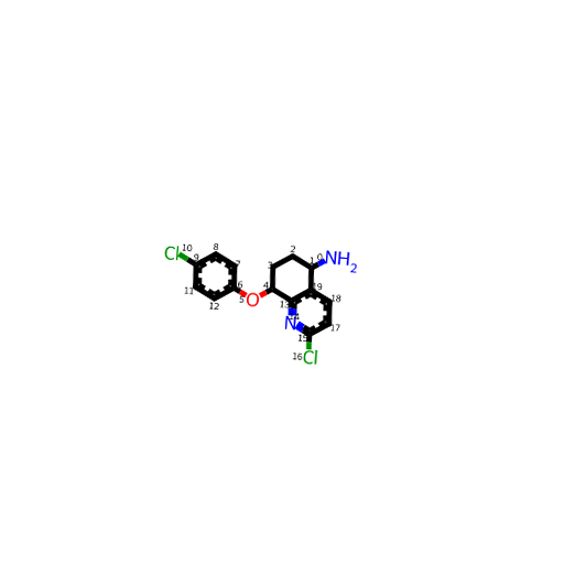 NC1CCC(Oc2ccc(Cl)cc2)c2nc(Cl)ccc21